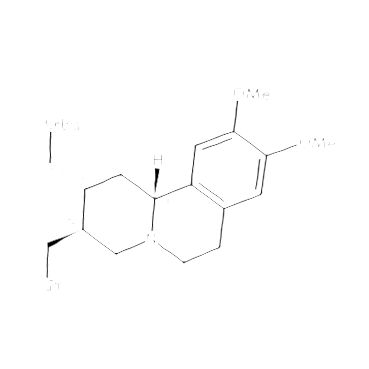 COc1cc2c(cc1OC)[C@H]1C[C@@H](COCC(C)C)[C@H](CC(C)C)CN1CC2